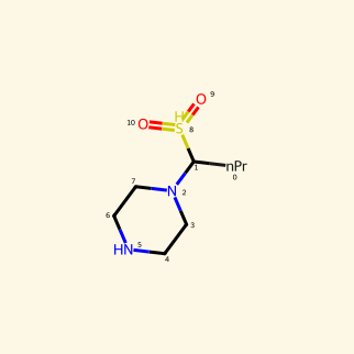 CCCC(N1CCNCC1)[SH](=O)=O